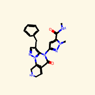 CNC(=O)c1cc(-n2c(=O)c3c(n4ncc(Cc5ccccc5)c24)CNCC3)nn1C